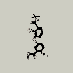 COC(=O)c1cc(Oc2cccc(C(=O)OC(C)(C)C)c2N)ccc1N